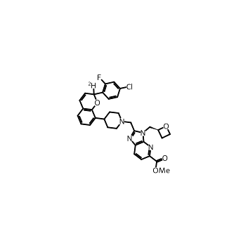 [2H]C1(c2ccc(Cl)cc2F)C=Cc2cccc(C3CCN(Cc4nc5ccc(C(=O)OC)nc5n4C[C@@H]4CCO4)CC3)c2O1